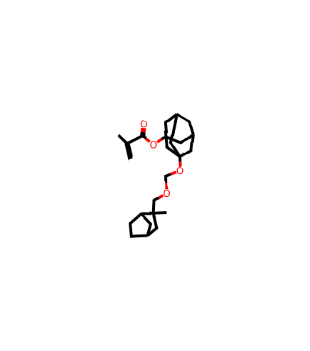 C=C(C)C(=O)OC12CC3CC(CC(OCOCC4(C)CC5CCC4C5)(C3)C1)C2